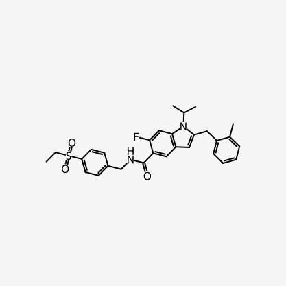 CCS(=O)(=O)c1ccc(CNC(=O)c2cc3cc(Cc4ccccc4C)n(C(C)C)c3cc2F)cc1